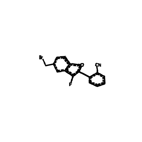 N#Cc1ccccc1-c1oc2ccc(CBr)cc2c1F